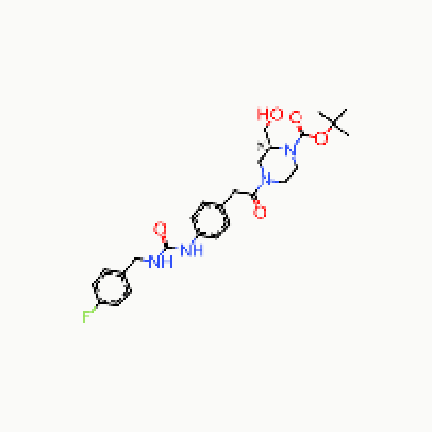 CC(C)(C)OC(=O)N1CCN(C(=O)Cc2ccc(NC(=O)NCc3ccc(F)cc3)cc2)C[C@H]1CO